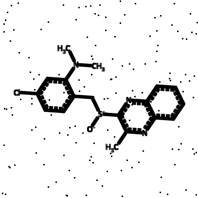 Cc1nc2ccccc2nc1[S+]([O-])Cc1ccc(Cl)cc1N(C)C